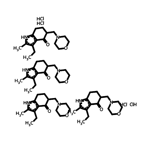 CCc1c(C)[nH]c2c1C(=O)C(CN1CCOCC1)CC2.CCc1c(C)[nH]c2c1C(=O)C(CN1CCOCC1)CC2.CCc1c(C)[nH]c2c1C(=O)C(CN1CCOCC1)CC2.CCc1c(C)[nH]c2c1C(=O)C(CN1CCOCC1)CC2.Cl.Cl.Cl.Cl